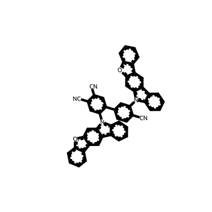 N#Cc1cc(-c2ccc(C#N)c(-n3c4ccccc4c4cc5c(cc43)oc3ccccc35)c2)c(-n2c3ccccc3c3cc4c(cc32)oc2ccccc24)cc1C#N